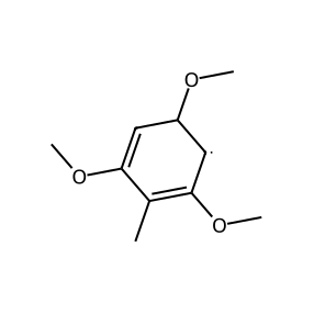 COC1=CC(OC)[CH]C(OC)=C1C